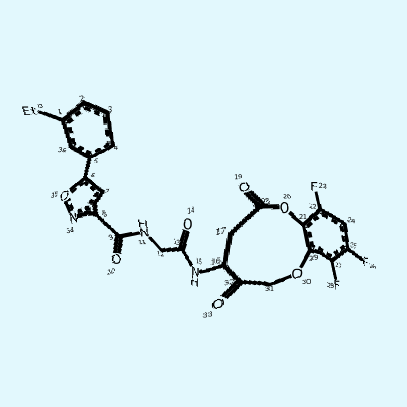 CCc1cccc(-c2cc(C(=O)NCC(=O)NC3CC(=O)Oc4c(F)cc(F)c(F)c4OCC3=O)no2)c1